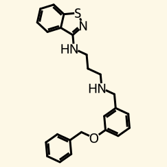 c1ccc(COc2cccc(CNCCCNc3nsc4ccccc34)c2)cc1